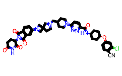 N#Cc1ccc(O[C@H]2CC[C@H](NC(=O)c3ccc(N4CCC(CN5CCC6(C5)CN(c5ccc7c(c5)C(=O)N(C5CCC(=O)NC5=O)C7=O)C6)CC4)nn3)CC2)cc1Cl